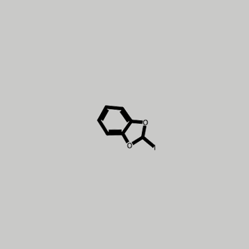 I[C]1Oc2ccccc2O1